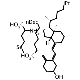 C=C1CC[C@H](O)C/C1=C/C=C1\CCC[C@]2(C)[C@@H]([C@H](C)CCCC(C)C)CC[C@@H]12.CCCCCCCCCCCCCCCC(=O)O.C[Se]CCC(N)C(=O)O